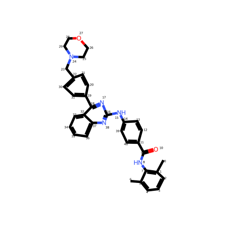 Cc1cccc(C)c1NC(=O)c1ccc(Nc2nc(-c3ccc(CN4CCOCC4)cc3)c3ccccc3n2)cc1